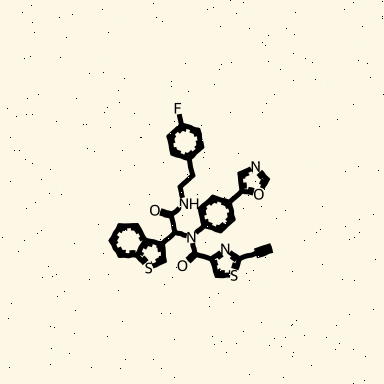 C#Cc1nc(C(=O)N(c2ccc(-c3cnco3)cc2)C(C(=O)NCCc2ccc(F)cc2)c2csc3ccccc23)cs1